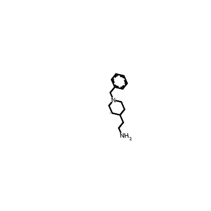 NCCC1[CH]CN(Cc2ccccc2)CC1